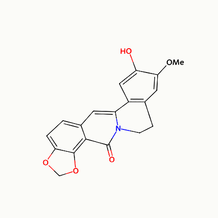 COc1cc2c(cc1O)-c1cc3ccc4c(c3c(=O)n1CC2)OCO4